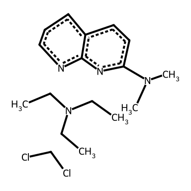 CCN(CC)CC.CN(C)c1ccc2cccnc2n1.ClCCl